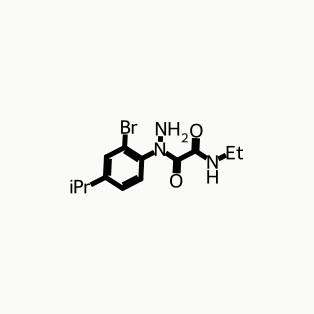 CCNC(=O)C(=O)N(N)c1ccc(C(C)C)cc1Br